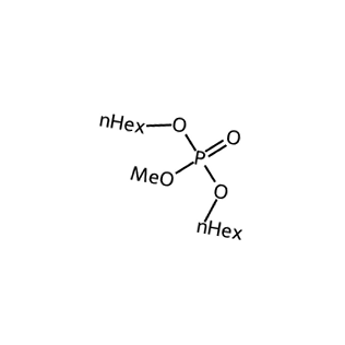 CCCCCCOP(=O)(OC)OCCCCCC